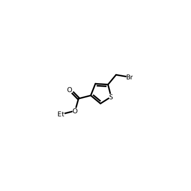 CCOC(=O)c1csc(CBr)c1